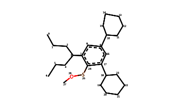 CCCC(CCC)c1cc(C2CCCCC2)cc(C2CCCCC2)c1SOC